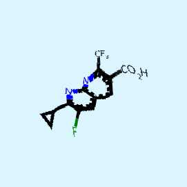 O=C(O)c1cc2cc(F)c(C3CC3)nc2nc1C(F)(F)F